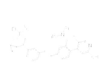 CCOP(=O)(CC)CC(c1cccc(OCc2ccc(-c3cc(C)ncc3F)c(CN(C(C)C)C(C)C)c2)c1)C1CC1